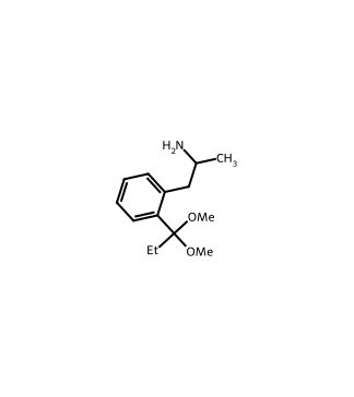 CCC(OC)(OC)c1ccccc1CC(C)N